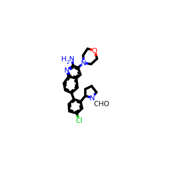 Nc1nc2ccc(-c3ccc(Cl)cc3C3CCCN3C=O)cc2cc1N1CCOCC1